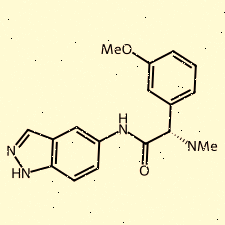 CN[C@H](C(=O)Nc1ccc2[nH]ncc2c1)c1cccc(OC)c1